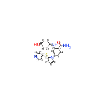 NC(=O)c1ccc(-n2cccc2Sc2ccncc2)cc1N[C@H]1CC[C@H](O)CC1